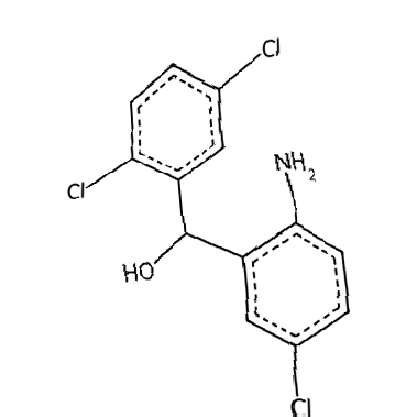 Nc1ccc(Cl)cc1C(O)c1cc(Cl)ccc1Cl